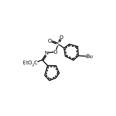 CCOC(=O)C(=NOS(=O)(=O)c1ccc(C(C)CC)cc1)c1ccccc1